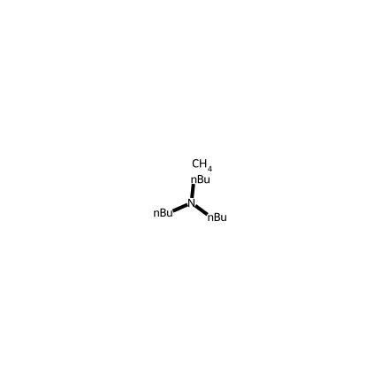 C.CCCCN(CCCC)CCCC